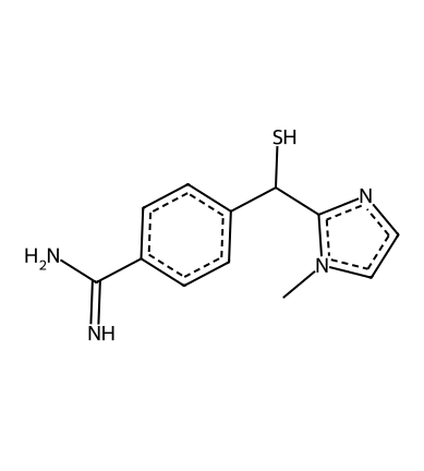 Cn1ccnc1C(S)c1ccc(C(=N)N)cc1